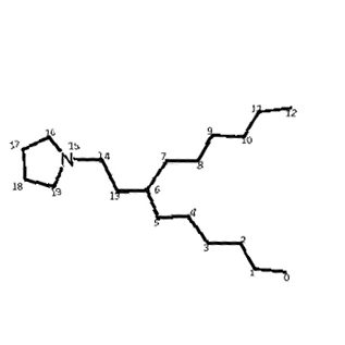 CCCCCCC(CCCCCC)CCN1CCCC1